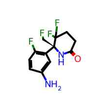 Nc1ccc(F)c([C@@]2(CF)NC(=O)CCC2(F)F)c1